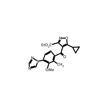 CCOC(=O)c1noc(C2CC2)c1C(=O)c1ccc(-n2cncn2)c(OC)c1C